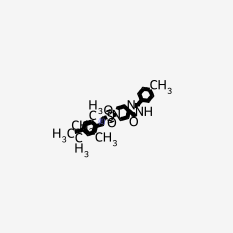 Cc1cc(C(C)(C)C)cc(C)c1/C=C/S(=O)(=O)N1CCC2(CC1)N=C(C1CCC(C)CC1)NC2=O